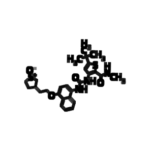 CNC(=O)c1sc(C(C)(C)C)cc1NC(=O)Nc1ccc(OCCC2CC[S+]([O-])C2)c2ccccc12